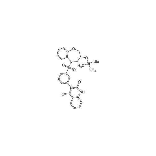 CC(C)(C)[Si](C)(C)OC1COc2ccccc2N(S(=O)(=O)c2cccc(-n3c(=O)[nH]c4ccccc4c3=O)c2)C1